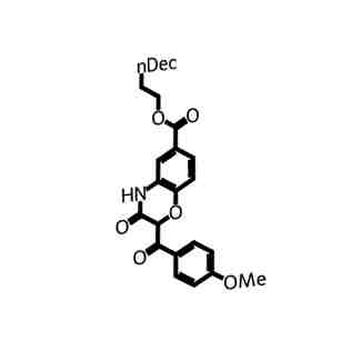 CCCCCCCCCCCCOC(=O)c1ccc2c(c1)NC(=O)C(C(=O)c1ccc(OC)cc1)O2